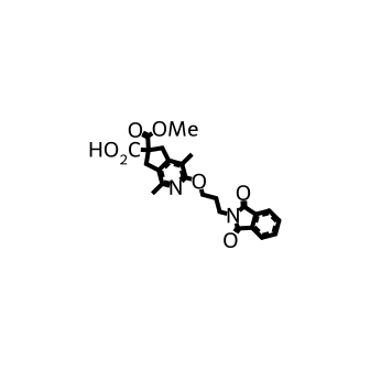 COC(=O)C1(C(=O)O)Cc2c(C)nc(OCCCN3C(=O)c4ccccc4C3=O)c(C)c2C1